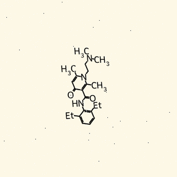 CCc1cccc(CC)c1NC(=O)c1c(C)n(CCN(C)C)c(C)cc1=O